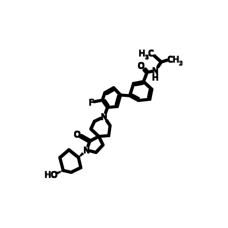 CC(C)NC(=O)c1cccc(-c2ccc(F)c(N3CCC4(CC3)CCN([C@H]3CC[C@@H](O)CC3)C4=O)c2)c1